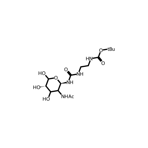 CC(=O)NC1C(O)[C@H](O)C(O)O[C@H]1NC(=O)NCCNC(=O)OC(C)(C)C